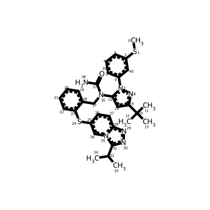 CSc1cccc(-n2nc(C(C)(C)C)cc2N(Cc2ccccc2Sc2ccc3nnc(C(C)C)n3c2)C(N)=O)c1